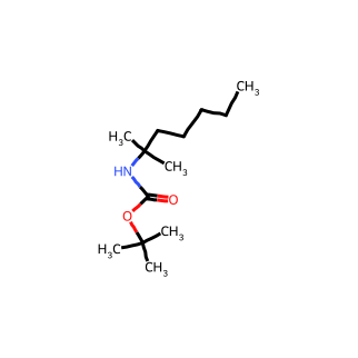 CCCCCC(C)(C)NC(=O)OC(C)(C)C